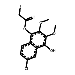 COc1c(OC)c(OC(=O)CI)c2ccc(Cl)cc2c1O